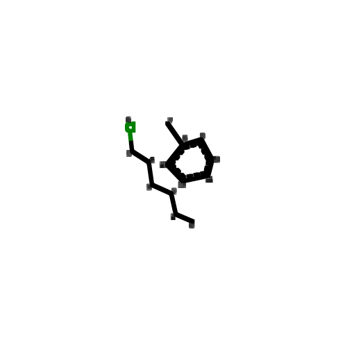 CCCCCCCl.Cc1ccccc1